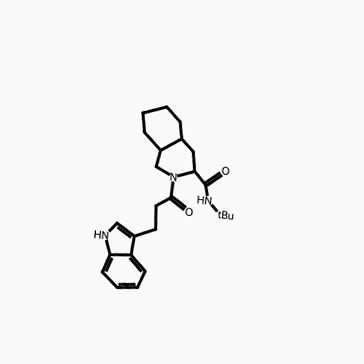 CC(C)(C)NC(=O)C1CC2CCCCC2CN1C(=O)CCc1c[nH]c2ccccc12